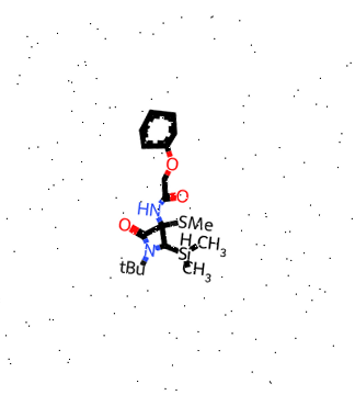 CSC1(NC(=O)COc2ccccc2)C(=O)N(C(C)(C)C)C1[SiH](C)C